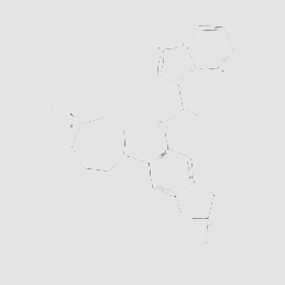 C[C@@]1(CO)Cc2cc(NC(O)c3cnn4cccnc34)c(N3CCC[C@@H](O)CC3)cc2O1